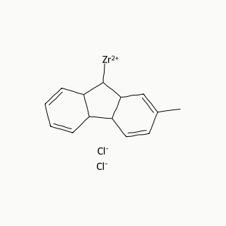 CC1=CC2[CH]([Zr+2])C3C=CC=CC3C2C=C1.[Cl-].[Cl-]